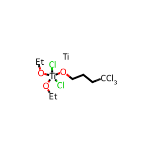 CC[O][Ti]([Cl])([Cl])([O]CC)[O]CCCC(Cl)(Cl)Cl.[Ti]